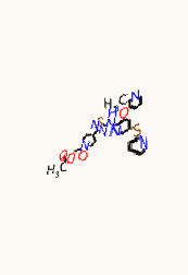 CC(=O)OCC(=O)N1CCC(c2nsc(Nc3ncc(Sc4ccccn4)cc3Oc3cccnc3C)n2)CC1